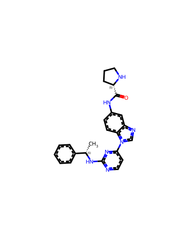 C[C@H](Nc1nccc(-n2cnc3cc(NC(=O)[C@@H]4CCCN4)ccc32)n1)c1ccccc1